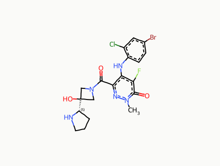 Cn1nc(C(=O)N2CC(O)([C@@H]3CCCN3)C2)c(Nc2ccc(Br)cc2Cl)c(F)c1=O